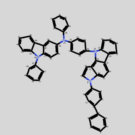 c1ccc(-c2ccc(-n3ccc4c3ccc3c5ccccc5n(-c5ccc(N(c6ccccc6)c6ccc7c(c6)c6ccccc6n7-c6ccccc6)cc5)c34)cc2)cc1